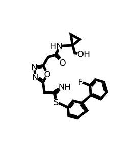 N=C(Cc1nnc(CC(=O)NC2(CO)CC2)o1)Sc1cccc(-c2ccccc2F)c1